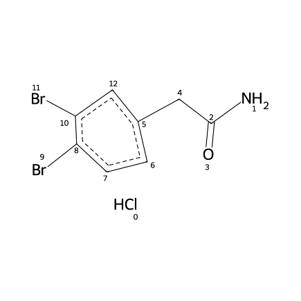 Cl.NC(=O)Cc1ccc(Br)c(Br)c1